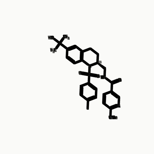 COc1ccc(C(=O)NC[C@@H]2CCc3cc(C(O)(C(F)(F)F)C(F)(F)F)ccc3N2S(=O)(=O)c2ccc(C)cc2)cn1